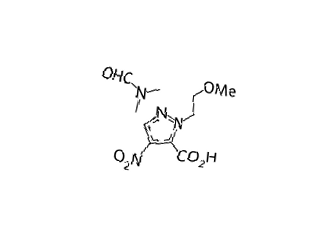 CN(C)C=O.COCCn1ncc([N+](=O)[O-])c1C(=O)O